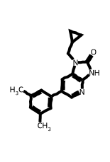 Cc1cc(C)cc(-c2cnc3[nH]c(=O)n(CC4CC4)c3c2)c1